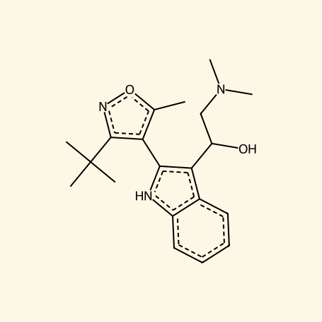 Cc1onc(C(C)(C)C)c1-c1[nH]c2ccccc2c1C(O)CN(C)C